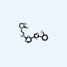 O=C1NCCN1CCNc1nccc(-c2cnc(-c3ccccc3Cl)s2)n1